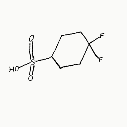 O=S(=O)(O)C1CCC(F)(F)CC1